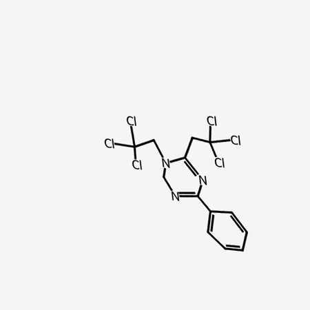 ClC(Cl)(Cl)CC1=NC(c2ccccc2)=NCN1CC(Cl)(Cl)Cl